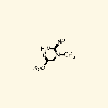 CC(C)COC(=O)CN(C)C(=N)N